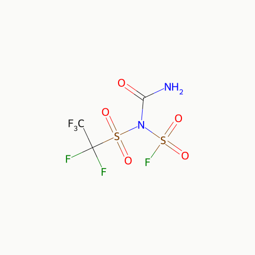 NC(=O)N(S(=O)(=O)F)S(=O)(=O)C(F)(F)C(F)(F)F